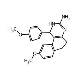 COc1ccc(C2NC(N)=NC3=C2c2cc(OC)ccc2CC3)cc1